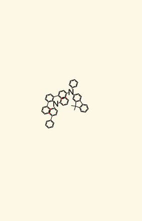 CC1(C)c2ccccc2-c2ccc(N(c3ccccc3)c3ccc(-c4cccc(-c5ccccc5)c4N(c4ccccc4)c4ccc(-c5ccccc5)cc4)cc3)cc21